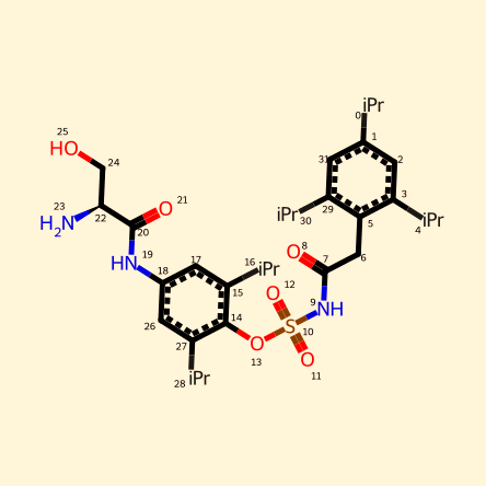 CC(C)c1cc(C(C)C)c(CC(=O)NS(=O)(=O)Oc2c(C(C)C)cc(NC(=O)[C@@H](N)CO)cc2C(C)C)c(C(C)C)c1